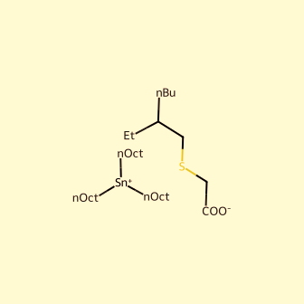 CCCCC(CC)CSCC(=O)[O-].CCCCCCC[CH2][Sn+]([CH2]CCCCCCC)[CH2]CCCCCCC